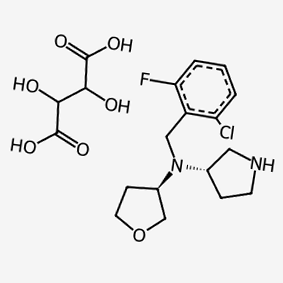 Fc1cccc(Cl)c1CN([C@@H]1CCOC1)[C@H]1CCNC1.O=C(O)C(O)C(O)C(=O)O